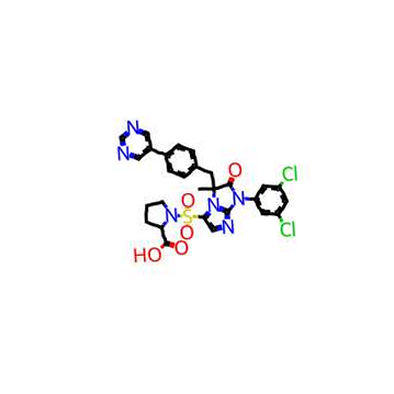 CC1(Cc2ccc(-c3cncnc3)cc2)C(=O)N(c2cc(Cl)cc(Cl)c2)c2ncc(S(=O)(=O)N3CCCC3C(=O)O)n21